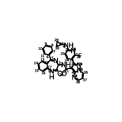 O=C(NC1N=C(c2ccccc2)c2ccccc2NC1=O)c1c(-c2ccc(NC3CC3)nc2F)nn2cccnc12